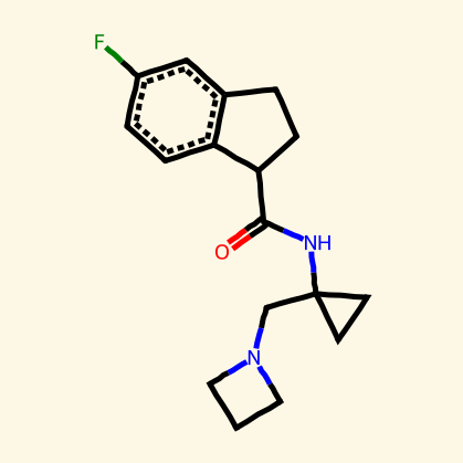 O=C(NC1(CN2CCC2)CC1)C1CCc2cc(F)ccc21